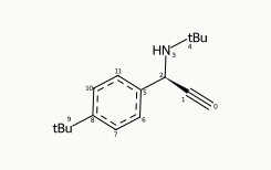 C#C[C@H](NC(C)(C)C)c1ccc(C(C)(C)C)cc1